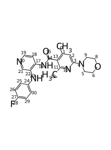 Cc1cc(N2CCOCC2)nc(C)c1C(=O)Nc1ccncc1Nc1ccc(F)cc1